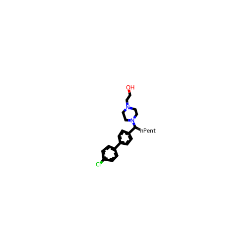 CCCCCC(c1ccc(-c2ccc(Cl)cc2)cc1)N1CCN(CCO)CC1